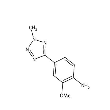 COc1cc(-c2nnn(C)n2)ccc1N